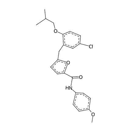 COc1ccc(NC(=O)c2ccc(Cc3cc(Cl)ccc3OCC(C)C)o2)cc1